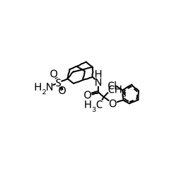 CC(C)(Oc1ccccc1Cl)C(=O)NC1C2CC3CC1CC(S(N)(=O)=O)(C3)C2